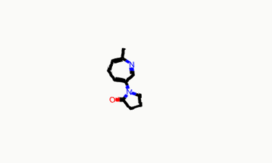 CC1=CCC=C(N2CCCC2=O)C=N1